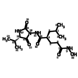 CC(C)C[C@@H](CCC(=O)NO)C(=O)NN1C(=O)N[C@@H](C(C)C)C1=O